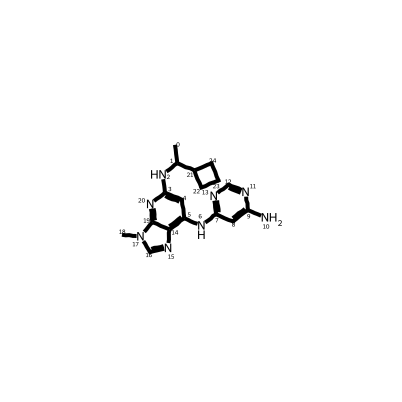 CC(Nc1cc(Nc2cc(N)ncn2)c2ncn(C)c2n1)C1CCC1